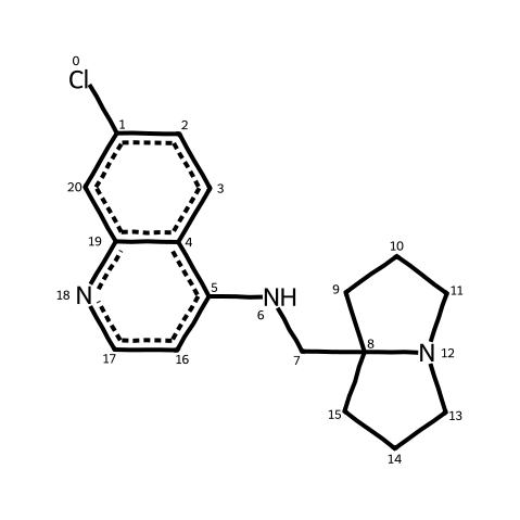 Clc1ccc2c(NCC34CCCN3CCC4)ccnc2c1